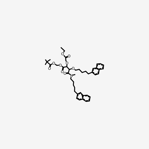 CCOC(=O)COC(C(=O)OCOC(=O)C(C)(C)C)C(OCCCCCc1ccc2ccccc2c1)C(=O)N(C)CCCCCc1ccc2ccccc2c1